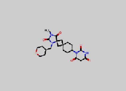 CN1C(=O)N(CC2CCOCC2)C2(CC3(CCC(N4C(=O)CC(=O)NC4=O)CC3)C2)C1=O